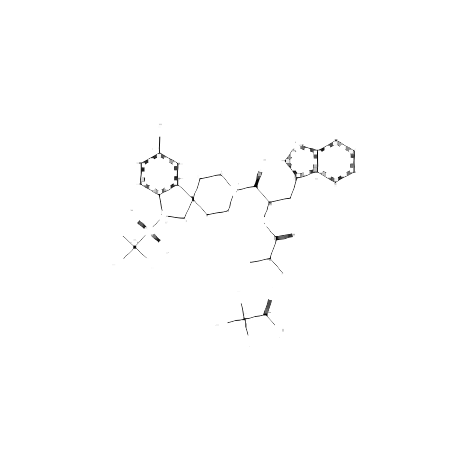 CC(C)C(=O)NC(Cc1c[nH]c2ccccc12)C(=O)N1CCC2(CC1)CN(S(=O)(=O)C(F)(F)F)c1ccc(F)cc12.O=C(O)C(F)(F)F